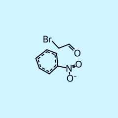 O=CCBr.O=[N+]([O-])c1ccccc1